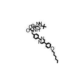 CCCCCCCOc1ccc(-c2cnc(-c3ccc(C[C@H](NC(=O)c4nnc(C(C)(C)C)s4)C(=O)O)cc3)nc2)cc1